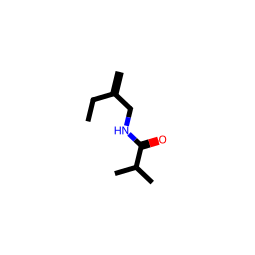 C=C(CC)CNC(=O)C(C)C